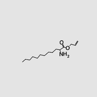 C=CCOC(=O)C(N)CCCCCCCCCC